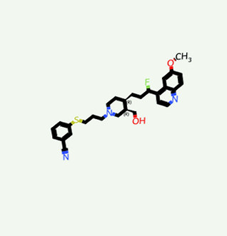 COc1ccc2nccc(C(F)CC[C@@H]3CCN(CCCSc4cccc(C#N)c4)C[C@@H]3CO)c2c1